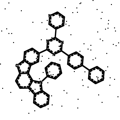 c1ccc(-c2ccc(-c3nc(-c4cccnc4)nc(-c4ccc5oc6ccc7c8ccccc8n(-c8ccccc8)c7c6c5c4)n3)cc2)cc1